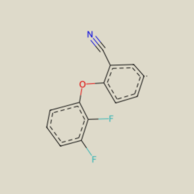 N#Cc1c[c]ccc1Oc1cccc(F)c1F